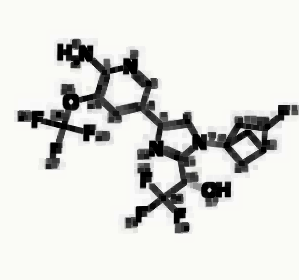 Nc1ncc(-c2cn(C34CC(F)C(C3)C4)c([C@H](O)C(F)(F)F)n2)cc1OC(F)(F)F